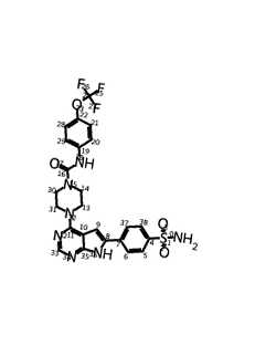 NS(=O)(=O)c1ccc(-c2cc3c(N4CCN(C(=O)Nc5ccc(OC(F)(F)F)cc5)CC4)ncnc3[nH]2)cc1